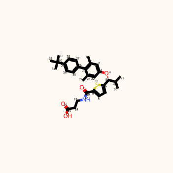 Cc1cc(O[C@@H](c2ccc(C(=O)NCCC(=O)O)s2)C(C)C)cc(C)c1-c1ccc(C(C)(C)C)cc1